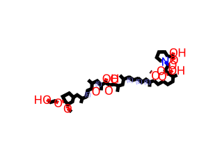 COC(CC1CCC(C)C(O)(C(=O)C(=O)N2CCCCC2C(=O)O)O1)/C(C)=C/C=C/C=C/C(C)CC(C)C(=O)C(OC)C(O)/C(C)=C/C(C)C(=O)/C=C/C(C)CC1CCC(OCCO)C(OC)C1